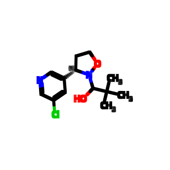 CC(C)(C)C(O)N1OCC[C@H]1c1cncc(Cl)c1